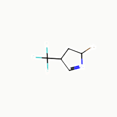 FC(F)(F)C1C=NC(Br)C1